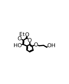 CCOc1c(O)c2cccc(OCCCO)c2oc1=O